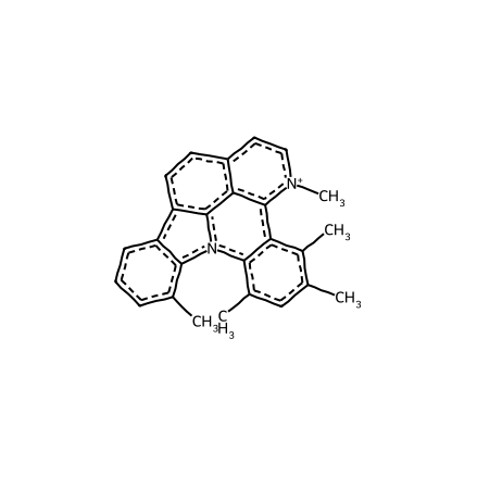 Cc1cc(C)c2c(c1C)c1c3c(ccc4c5cccc(C)c5n2c43)cc[n+]1C